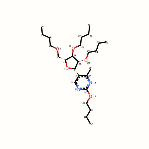 CCCCOC[C@H]1O[C@@H](c2cnc(OCCCC)nc2C)[C@@H](OCCCC)C1OCCCC